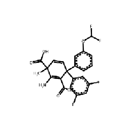 CC1(C(=O)O)C=CC(c2cc(F)cc(F)c2)(c2cccc(OC(F)F)c2)C(C(=O)O)=C1N